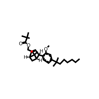 CCCCCCC(C)(C)c1ccc([C@H]2C=C(COC(=O)C(C)(C)C)[C@H]3C[C@@H]2C3(C)C)c(OC)c1